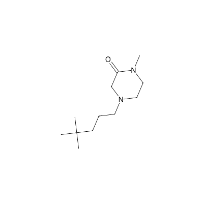 CN1CCN(CCCC(C)(C)C)CC1=O